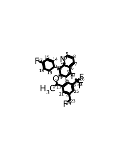 CC(O[C@@H]1CCc2cccnc2[C@H]1C1C=CC(F)=CC1)c1cc(CF)cc(C(F)(F)F)c1